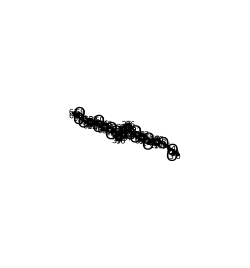 C=CC(=O)OCCCOc1ccc(C(=O)OC2CCC(OC(=O)Oc3cccc4c3C3(CC4)CCc4cccc(OC(=O)OC5CCC(OC(=O)c6ccc(OCOC(=O)C=C)cc6)CC5)c43)CC2)cc1